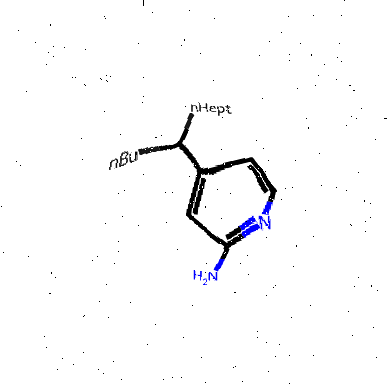 CCCCCCCC(CCCC)c1ccnc(N)c1